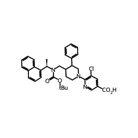 C[C@H](c1cccc2ccccc12)N(CC1CCN(c2ncc(C(=O)O)cc2Cl)CC1c1ccccc1)C(=O)OC(C)(C)C